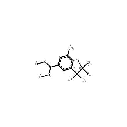 CCOC(OCC)c1[c]c(C)cc(C(F)(C(F)(F)F)C(F)(F)C(F)(F)F)c1